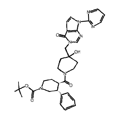 CC(C)(C)OC(=O)N1CC[C@@H](C(=O)N2CCC(O)(Cn3cnc4c(ccn4-c4ncccn4)c3=O)CC2)[C@H](c2ccccc2)C1